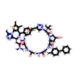 Cc1sc2c(c1C)C(c1ccc(Cl)cc1)=N[C@@H](CC(=O)N(C)C[C@H]1NC(=O)CNC(=O)[C@@H](Cc3ccc(-c4ccccc4)cc3)NC(=O)[C@@H]3CC(O)CN3C(=O)[C@H](C(C)(C)C)n3cc(nn3)COCCN(C)C1=O)c1nnc(C)n1-2